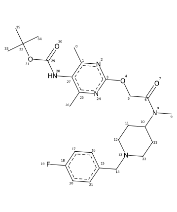 Cc1nc(OCC(=O)N(C)C2CCN(Cc3ccc(F)cc3)CC2)nc(C)c1NC(=O)OC(C)(C)C